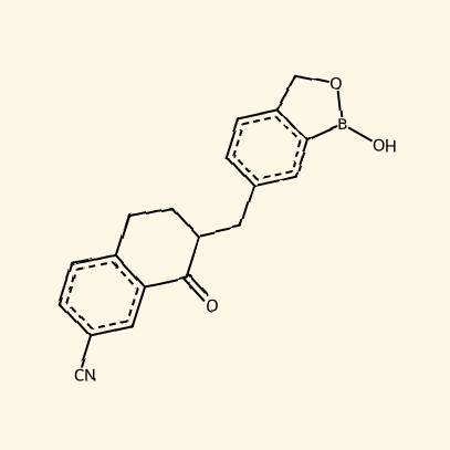 N#Cc1ccc2c(c1)C(=O)C(Cc1ccc3c(c1)B(O)OC3)CC2